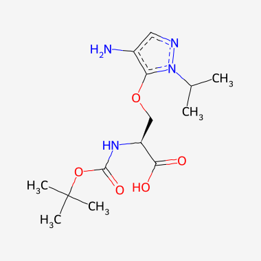 CC(C)n1ncc(N)c1OC[C@H](NC(=O)OC(C)(C)C)C(=O)O